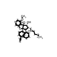 COCCNC[C@H]1[C@@H](O)[C@@]2(O)c3c(OC)cncc3O[C@@]2(c2ccc(C#N)cc2)[C@@H]1c1ccccc1